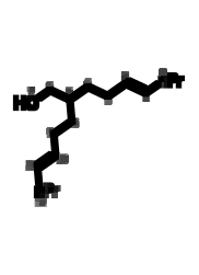 CCCC=CCCC(CO)CCC=CCCC